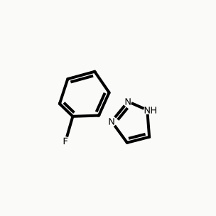 Fc1ccccc1.c1c[nH]nn1